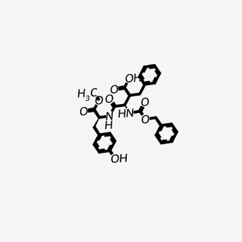 COC(=O)[C@H](Cc1ccc(O)cc1)NC(=O)[C@@H](NC(=O)OCc1ccccc1)C(Cc1ccccc1)C(=O)O